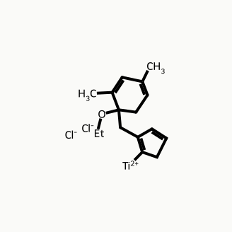 CCOC1(CC2=[C]([Ti+2])CC=C2)CC=C(C)C=C1C.[Cl-].[Cl-]